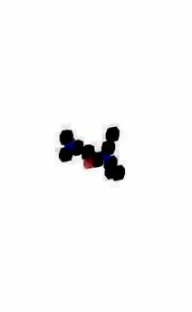 c1ccc(-c2ccc(N(c3ccc4c(ccc5ccccc54)c3)c3ccc4oc5cc(-c6ccc7c(c6)c6ccccc6n7-c6ccccc6)ccc5c4c3)cc2)cc1